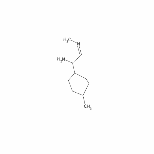 C/N=C\C(N)C1CCC(C)CC1